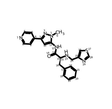 Cn1nc(-c2ccncc2)cc1NC(=O)[C@H](Cc1ccccc1)NCc1cscn1